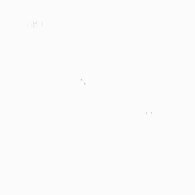 CCCCC1CCCN(C2c3ccccc3COc3ccccc32)CC1